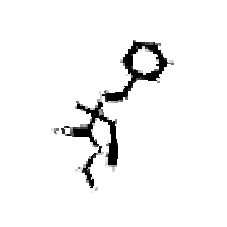 C#CCC(C)(N=Cc1ccccc1)C(=O)OCC